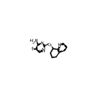 Nc1nc(OC2CCCc3cccnc32)ncc1F